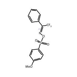 COc1ccc(S(=O)(=O)O/N=C(/c2ccccc2)C(F)(F)F)cc1